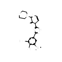 O=C1C(N2CCOCC2)=NC=CC1c1noc(-c2cc(O)c(O)c([N+](=O)[O-])c2)n1